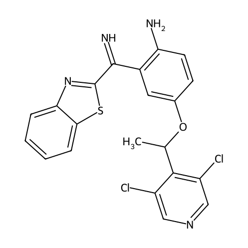 CC(Oc1ccc(N)c(C(=N)c2nc3ccccc3s2)c1)c1c(Cl)cncc1Cl